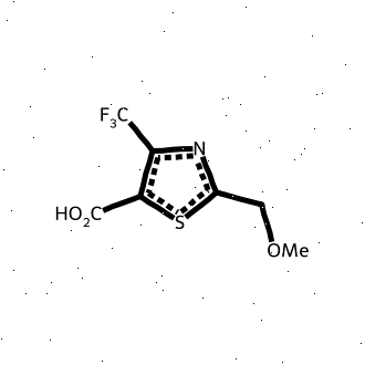 COCc1nc(C(F)(F)F)c(C(=O)O)s1